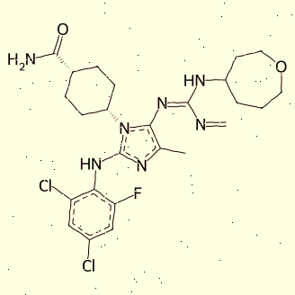 C=N/C(=N\c1c(C)nc(Nc2c(F)cc(Cl)cc2Cl)n1[C@H]1CC[C@@H](C(N)=O)CC1)NC1CCCOCC1